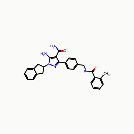 Cc1ccccc1C(=O)NCc1ccc(-c2nn(C3Cc4ccccc4C3)c(N)c2C(N)=O)cc1